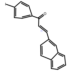 O=C(/C=C/c1ccc2ccccc2c1)c1ccc(I)cc1